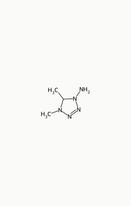 CC1N(C)N=NN1N